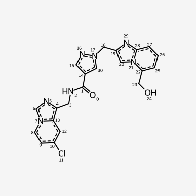 O=C(NCc1ncn2ccc(Cl)cc12)c1cnn(Cc2cn3c(CO)cccc3n2)c1